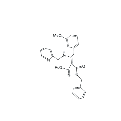 COc1cccc(CC(NCc2ccccn2)=C2C(=O)N(Cc3ccccc3)N=C2OC(C)=O)c1